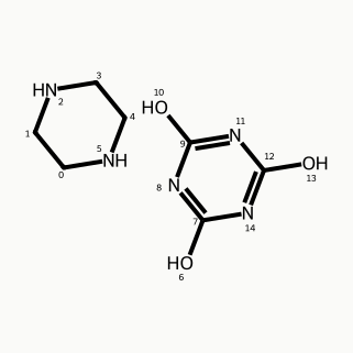 C1CNCCN1.Oc1nc(O)nc(O)n1